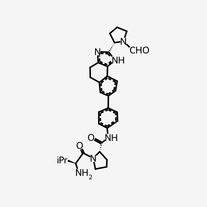 CC(C)[C@H](N)C(=O)N1CCC[C@H]1C(=O)Nc1ccc(-c2ccc3c(c2)CCc2nc([C@@H]4CCCN4C=O)[nH]c2-3)cc1